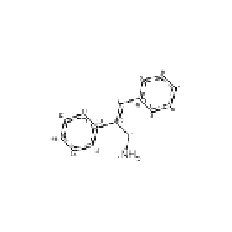 NC/C(=C\c1ccccc1)c1ccccc1